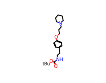 CC(C)(C)OC(=O)NCCc1ccc(OCCCN2CCCCC2)cc1